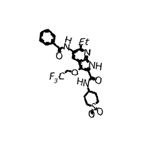 CCc1nc2[nH]c(C(=O)NC3CCS(=O)(=O)CC3)c(OCC(F)(F)F)c2cc1NC(=O)c1ccccc1